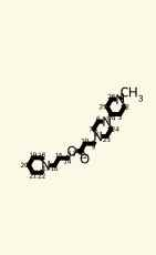 CN1CCC(N2CCN(CCC(=O)OCCCN3CCCCC3)CC2)CC1